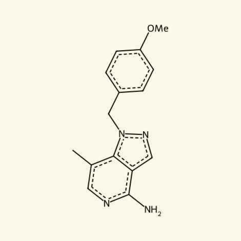 COc1ccc(Cn2ncc3c(N)ncc(C)c32)cc1